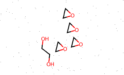 C1CO1.C1CO1.C1CO1.C1CO1.OCCO